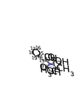 CC(C)/C(C(=O)O)=C(\C(=O)O)C(C)Cc1ccccc1